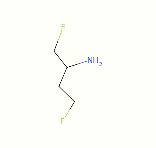 NC(CF)CCF